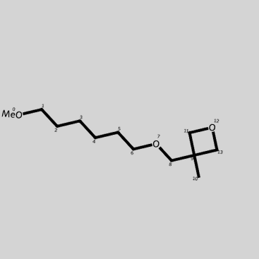 COCCCCCCOCC1(C)COC1